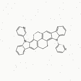 c1cncc(-n2c3ccccc3c3cc4c5c(c32)CCc2cc3c6ccccc6n(-c6cccnc6)c3c(c2-5)CC4)c1